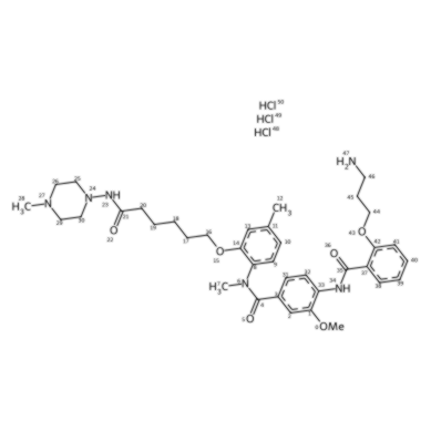 COc1cc(C(=O)N(C)c2ccc(C)cc2OCCCCCC(=O)NN2CCN(C)CC2)ccc1NC(=O)c1ccccc1OCCCN.Cl.Cl.Cl